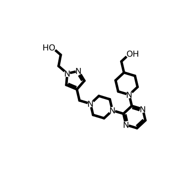 OCCn1cc(CN2CCN(c3nccnc3N3CCC(CO)CC3)CC2)cn1